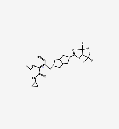 CCN/C(C(=O)NC1CC1)=C(\C=N)CN1CC2CN(C(=O)OC(C(F)(F)F)C(F)(F)F)CC2C1